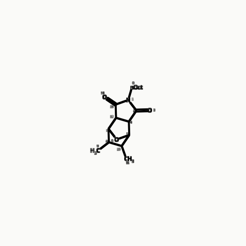 CCCCCCCCN1C(=O)C2C3OC(C(C)C3C)C2C1=O